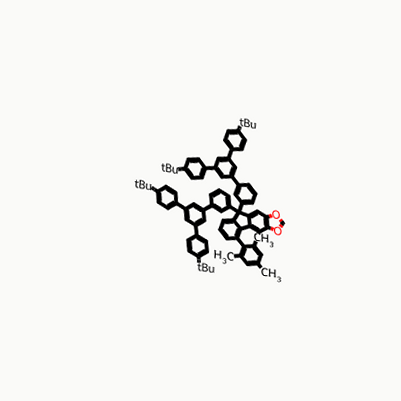 Cc1cc(C)c(-c2cccc3c2-c2cc4c(cc2C3(c2cccc(-c3cc(-c5ccc(C(C)(C)C)cc5)cc(-c5ccc(C(C)(C)C)cc5)c3)c2)c2cccc(-c3cc(-c5ccc(C(C)(C)C)cc5)cc(-c5ccc(C(C)(C)C)cc5)c3)c2)OCO4)c(C)c1